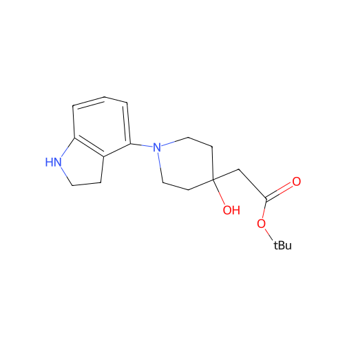 CC(C)(C)OC(=O)CC1(O)CCN(c2cccc3c2CCN3)CC1